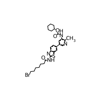 Cc1ncc(-c2ccc3nc(NC(=O)CCCCCCBr)sc3c2)cc1NC(=O)OC1CCCCC1